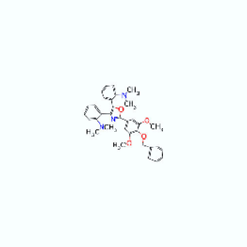 COc1cc(-c2nc(-c3ccccc3N(C)C)c(-c3ccccc3N(C)C)o2)cc(OC)c1OCc1ccccc1